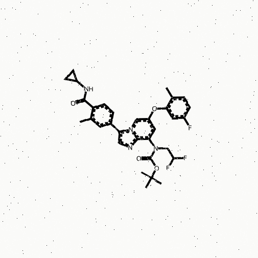 Cc1ccc(F)cc1Oc1cc(N(CC(F)F)C(=O)OC(C)(C)C)c2ncc(-c3ccc(C(=O)NC4CC4)c(C)c3)n2c1